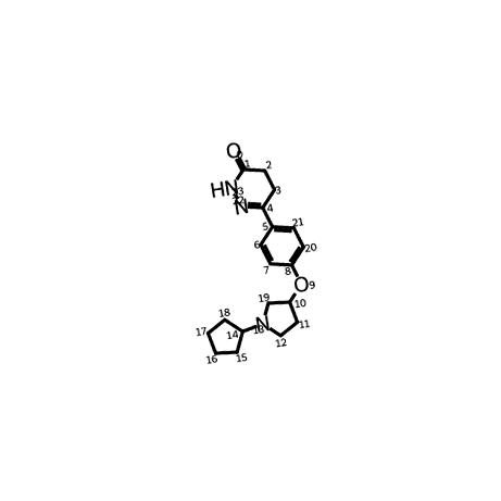 O=C1CCC(c2ccc(OC3CCN(C4CCCC4)C3)cc2)=NN1